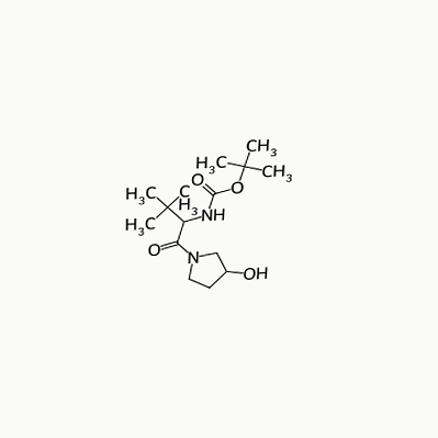 CC(C)(C)OC(=O)NC(C(=O)N1CCC(O)C1)C(C)(C)C